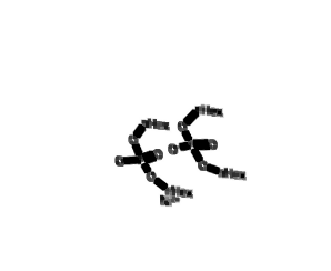 CCCCCCOP(=O)([O-])OCCCCCC.CCCCCCOP(=O)([O-])OCCCCCC.[Ni+2]